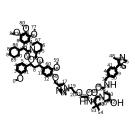 COc1cccc(C(CCc2ccc(OCc3cn(CCOCC(=O)N[C@H](C(=O)N4C[C@H](O)C[C@H]4C(=O)NCc4ccc(-c5scnc5C)cc4)C(C)(C)C)nn3)c(OC)c2)OC(=O)C2CCCCN2C(=O)[C@H](c2cc(OC)c(OC)c(OC)c2)C2CCCCC2)c1